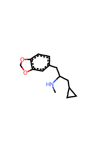 CNC(Cc1ccc2c(c1)OCO2)CC1CC1